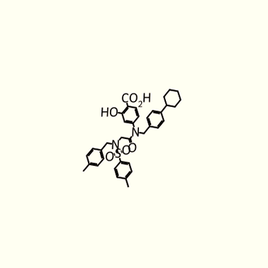 Cc1ccc(CN(CC(=O)N(Cc2ccc(C3CCCCC3)cc2)c2ccc(C(=O)O)c(O)c2)S(=O)(=O)c2ccc(C)cc2)cc1